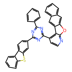 c1ccc(-c2nc(-c3ccc4c(c3)sc3ccccc34)nc(-c3ccnc4oc5cc6ccccc6cc5c34)n2)cc1